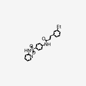 CCc1cccc(/C=C/C(=O)Nc2ccc(S(=O)(=O)Nc3ccccn3)cc2)c1